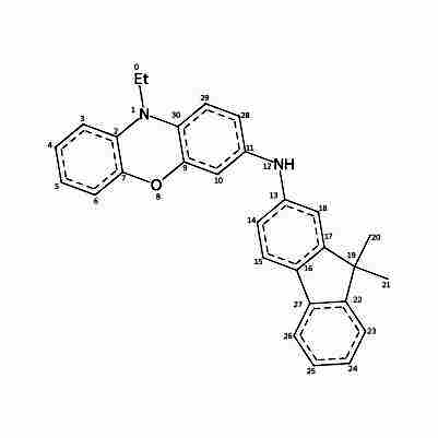 CCN1c2ccccc2Oc2cc(Nc3ccc4c(c3)C(C)(C)c3ccccc3-4)ccc21